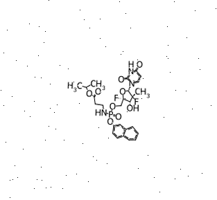 CC(C)OC(=O)CCN[P@](=O)(OC[C@@]1(F)O[C@@H](n2ccc(=O)[nH]c2=O)[C@](C)(F)[C@@H]1O)Oc1ccc2ccccc2c1